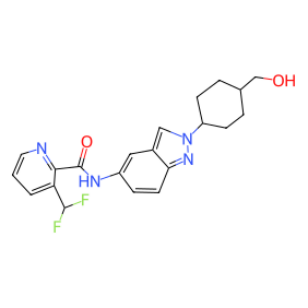 O=C(Nc1ccc2nn(C3CCC(CO)CC3)cc2c1)c1ncccc1C(F)F